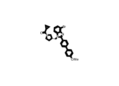 COc1ccc(-c2ccc(-c3nc4c(Br)cccc4n3C[C@@H]3CCN(C(=O)C4CC4)C3)cc2)cc1